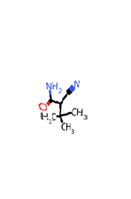 CC(C)(C)C(C#N)C(N)=O